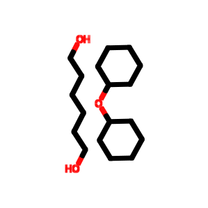 C1CCC(OC2CCCCC2)CC1.OCCCCCCO